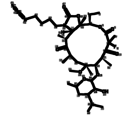 CC[C@H]1OC(=O)C(C)(F)C(=O)[C@H](C)[C@@H](OC2OC(C)CC(N(C)C)C2O)[C@@](C)(OC)C[C@@H](C)C(=O)[C@H](C)[C@H]2N(CCCCN=[N+]=[N-])C(=O)O[C@]12C